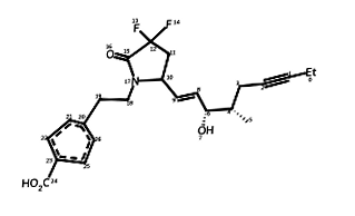 CCC#CC[C@H](C)[C@H](O)/C=C/C1CC(F)(F)C(=O)N1CCc1ccc(C(=O)O)cc1